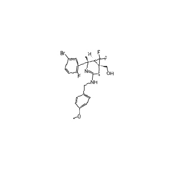 COc1ccc(CNC2=N[C@](C)(c3cc(Br)ccc3F)[C@H]3C(F)(F)[C@]3(CO)S2)cc1